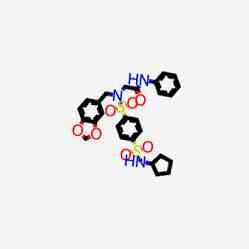 O=C(CN(Cc1ccc2c(c1)OCO2)S(=O)(=O)c1ccc(S(=O)(=O)NC2CCCC2)cc1)Nc1ccccc1